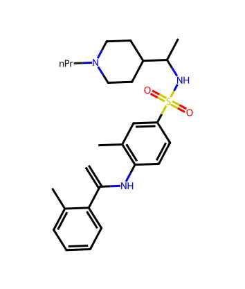 C=C(Nc1ccc(S(=O)(=O)NC(C)C2CCN(CCC)CC2)cc1C)c1ccccc1C